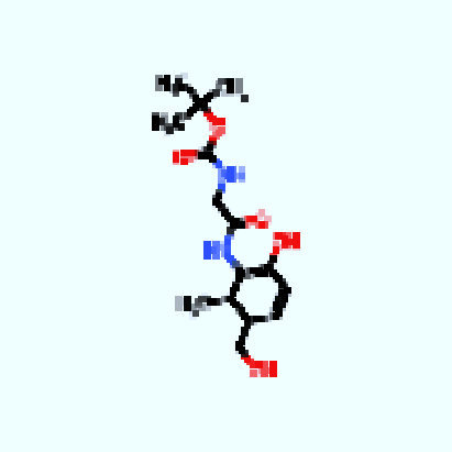 CC1C(NC(=O)CNC(=O)OC(C)(C)C)=C(O)C=CC1CO